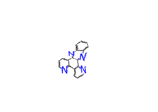 c1ccc2nc3c4ncccc4c4ncccc4c3nc2c1